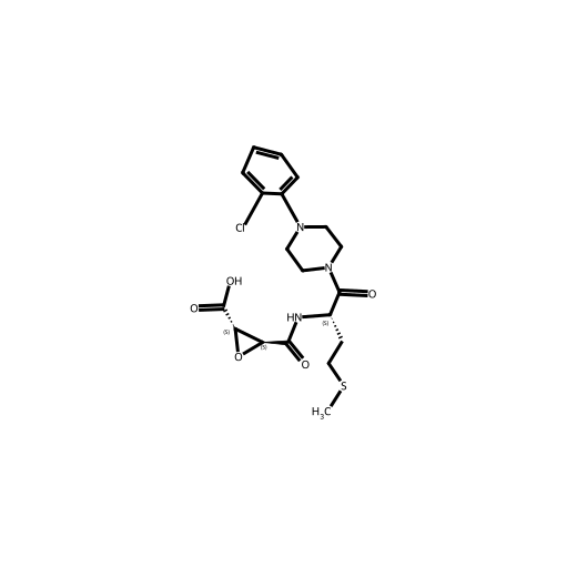 CSCC[C@H](NC(=O)[C@H]1O[C@@H]1C(=O)O)C(=O)N1CCN(c2ccccc2Cl)CC1